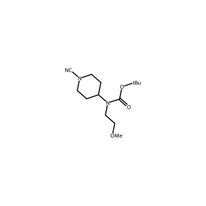 COCCN(C(=O)OC(C)(C)C)C1CCN(C#N)CC1